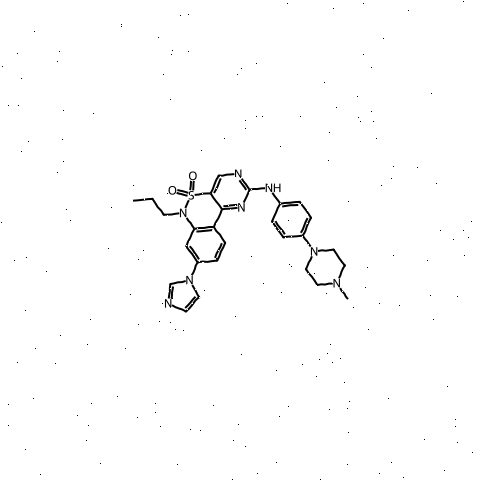 CCCN1c2cc(-n3ccnc3)ccc2-c2nc(Nc3ccc(N4CCN(C)CC4)cc3)ncc2S1(=O)=O